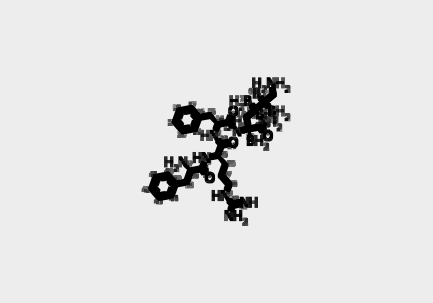 BC(B)(CN)C(B)(B)C[C@](B)(NC(=O)[C@H](Cc1ccccc1)NC(=O)[C@@H](CCCNC(=N)N)NC(=O)[C@@H](N)Cc1ccccc1)C(N)=O